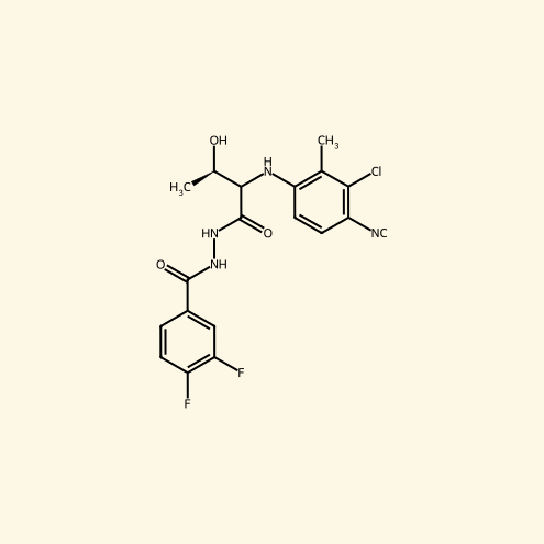 [C-]#[N+]c1ccc(NC(C(=O)NNC(=O)c2ccc(F)c(F)c2)[C@@H](C)O)c(C)c1Cl